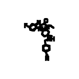 CCN(C(=O)c1nc2cc(F)ccc2[nH]1)[C@H]1CCCC(C)(NCc2ccc(C#N)cc2)C1